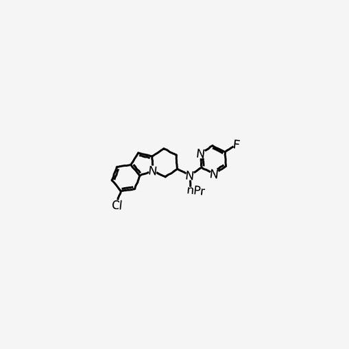 CCCN(c1ncc(F)cn1)C1CCc2cc3ccc(Cl)cc3n2C1